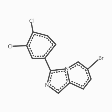 Clc1ccc(-c2ncc3ccc(Br)cn23)cc1Cl